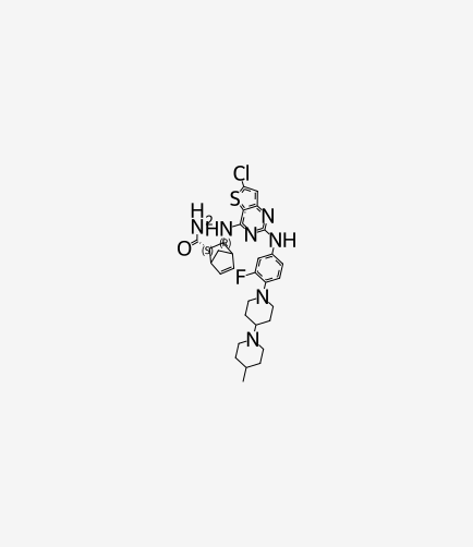 CC1CCN(C2CCN(c3ccc(Nc4nc(N[C@@H]5C6C=CC(C6)[C@@H]5C(N)=O)c5sc(Cl)cc5n4)cc3F)CC2)CC1